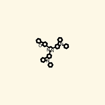 c1ccc(-n2c3ccccc3c3cc(-c4cc(-c5ccc6c(c5)oc5ccccc56)nc(-c5ccc6c(c5)c5ccccc5n6-c5ccccc5)n4)ccc32)cc1